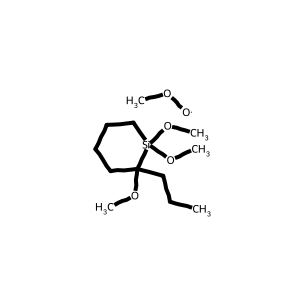 CCCC1(OC)CCCC[Si]1(OC)OC.CO[O]